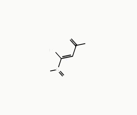 C/C(=C\C(=O)O)[N+](=O)[O-]